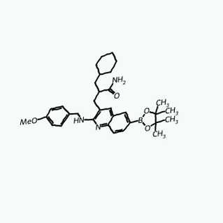 COc1ccc(CNc2nc3ccc(B4OC(C)(C)C(C)(C)O4)cc3cc2CC(CC2CCCCC2)C(N)=O)cc1